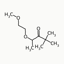 COCCOC(C)C(=O)C(C)(C)C